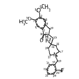 COc1cc2c(cc1OC)C(=O)C(CC1(P)CCN(Cc3ccccc3F)CC1)C2